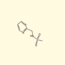 CS(=O)(=O)NCc1ncccn1